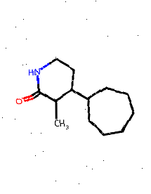 CC1C(=O)NCCC1C1CCCCCC1